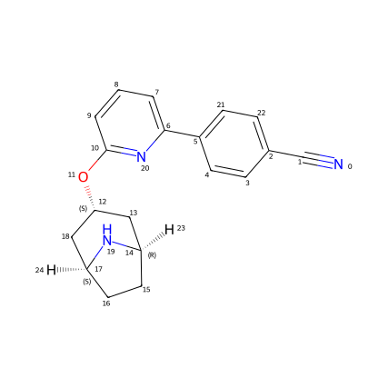 N#Cc1ccc(-c2cccc(O[C@@H]3C[C@H]4CC[C@@H](C3)N4)n2)cc1